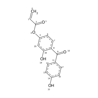 C=CC(=O)Oc1ccc(C(=O)c2ccc(O)cc2)c(O)c1